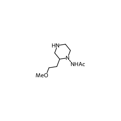 COCCC1CNCCN1NC(C)=O